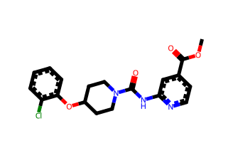 COC(=O)c1ccnc(NC(=O)N2CCC(Oc3ccccc3Cl)CC2)c1